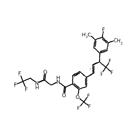 Cc1cc(C(/C=C/c2ccc(C(=O)NCC(=O)NCC(F)(F)F)c(OC(F)(F)F)c2)C(F)(F)F)cc(C)c1F